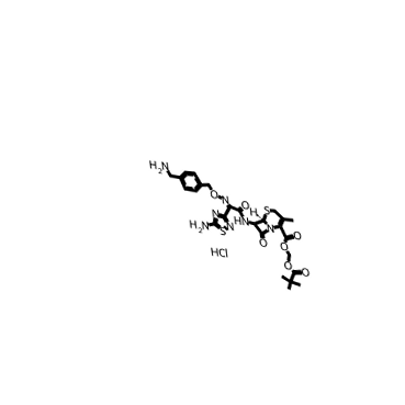 CC1=C(C(=O)OCOC(=O)C(C)(C)C)N2C(=O)C(NC(=O)/C(=N/OCc3ccc(CN)cc3)c3nsc(N)n3)[C@H]2SC1.Cl